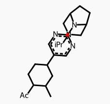 CC(=O)C1CCC(c2cnc(N3C4CCC3CN(C(C)C)C4)nc2)CC1C